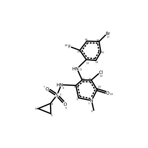 Cn1cc(NS(=O)(=O)C2CC2)c(Nc2ccc(Br)cc2F)c(Cl)c1=O